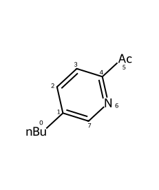 CCCCc1ccc(C(C)=O)nc1